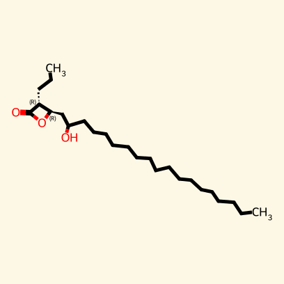 CCCCCCCCCCCCCCCCCC(O)C[C@H]1OC(=O)[C@@H]1CCC